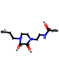 CC(C)(C)CCN1CCN(CCNC(=O)C(C)(C)C)C(=O)C1=O